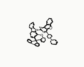 c1ccc(-c2ccc(-c3nc(-n4c5ccccc5c5ccc6c(c54)Oc4ccccc4C64c5ccccc5-c5ccccc54)nc4c3oc3ccccc34)cc2)cc1